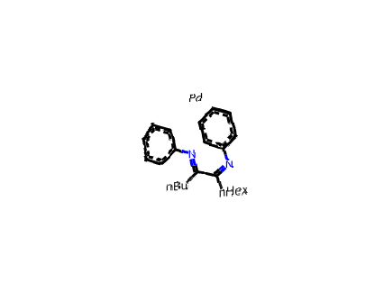 CCCCCCC(=Nc1ccccc1)C(CCCC)=Nc1ccccc1.[Pd]